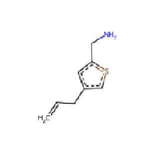 C=CCc1csc(CN)c1